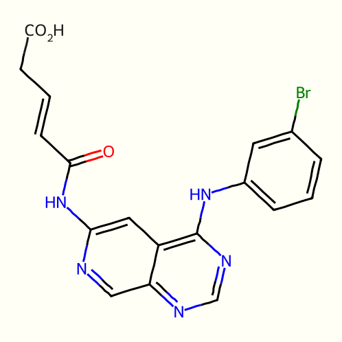 O=C(O)C/C=C/C(=O)Nc1cc2c(Nc3cccc(Br)c3)ncnc2cn1